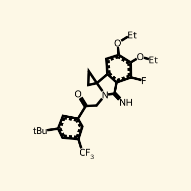 CCOc1cc2c(c(F)c1OCC)C(=N)N(CC(=O)c1cc(C(C)(C)C)cc(C(F)(F)F)c1)C21CC1